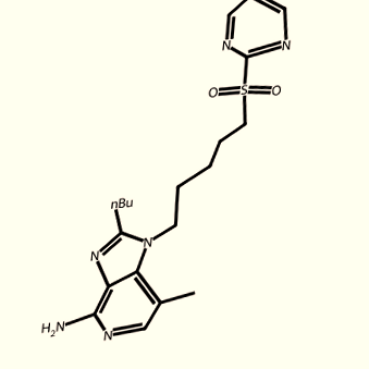 CCCCc1nc2c(N)ncc(C)c2n1CCCCCS(=O)(=O)c1ncccn1